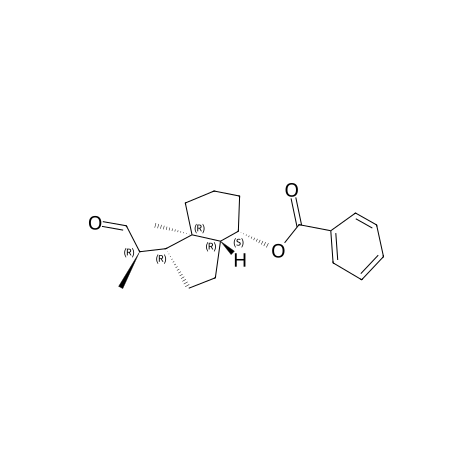 C[C@@H](C=O)[C@H]1CC[C@H]2[C@@H](OC(=O)c3ccccc3)CCC[C@]12C